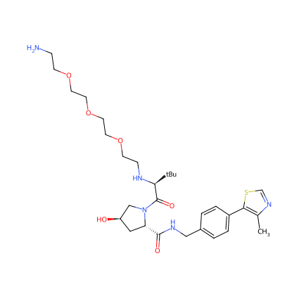 Cc1ncsc1-c1ccc(CNC(=O)[C@@H]2C[C@@H](O)CN2C(=O)[C@@H](NCCOCCOCCOCCN)C(C)(C)C)cc1